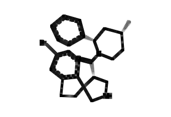 C[C@@H]1CCN(C(=O)[C@@H]2CNCC23CCc2cc(Br)ccc23)[C@H](c2ccccc2)C1